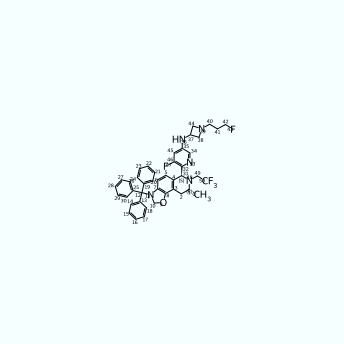 C[C@@H]1Cc2c(ccc3c2OCN3C(c2ccccc2)(c2ccccc2)c2ccccc2)[C@@H](c2ncc(NC3CN(CCCF)C3)cc2F)N1CC(F)(F)F